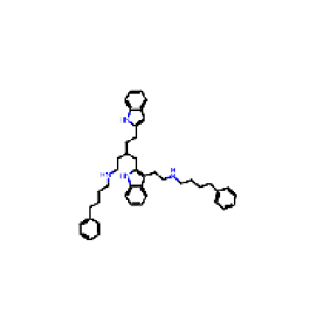 c1ccc(CCCCNCCc2c(CC(CCNCCCCc3ccccc3)CCc3cc4ccccc4[nH]3)[nH]c3ccccc23)cc1